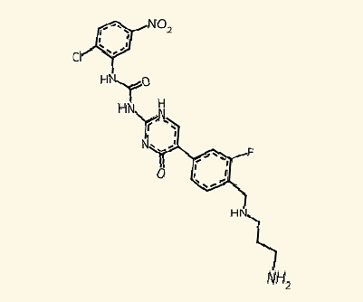 NCCCNCc1ccc(-c2c[nH]c(NC(=O)Nc3cc([N+](=O)[O-])ccc3Cl)nc2=O)cc1F